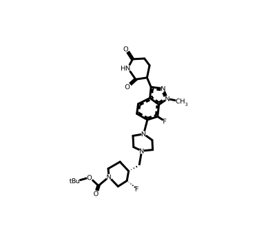 Cn1nc(C2CCC(=O)NC2=O)c2ccc(N3CCN(C[C@H]4CCN(C(=O)OC(C)(C)C)C[C@H]4F)CC3)c(F)c21